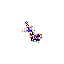 CCc1c(F)ccc2cc(OCOC)cc(-c3ncc4c(N5C[C@H]6CC[C@@H](C5)N6C(=O)OC(C)(C)C)nc(OC5CCOCC5)nc4c3OCc3ccc(-c4cn([C@H](C(=O)N5C[C@H](O)C[C@H]5C(=O)N[C@@H](CO)c5ccc(-c6c(F)ccc(F)c6F)cc5)C(C)C)nn4)cc3)c12